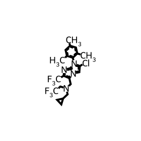 Cc1cc(C)c(-n2c(Cl)cn3c(CN(CC4CC4)CC(F)(F)F)c(C(F)(F)F)nc23)c(C)c1